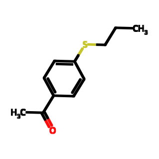 CCCSc1ccc(C(C)=O)cc1